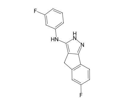 Fc1cccc(Nc2[nH]nc3c2Cc2cc(F)ccc2-3)c1